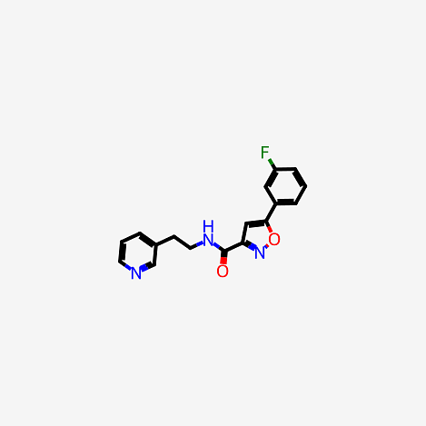 O=C(NCCc1cccnc1)c1cc(-c2cccc(F)c2)on1